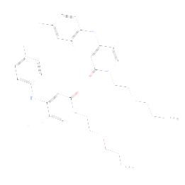 CCOC(=O)c1cn(CCOCCOC)c(=O)cc1Nc1ccc(I)cc1F.COCCOCCn1cc(C(=O)O)c(Nc2ccc(I)cc2F)cc1=O